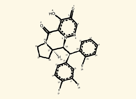 O=C1c2c(O)c(=O)cnn2[C@@H]([C@H](c2ccc(F)c(F)c2)c2ccccc2F)[C@H]2CCCN12